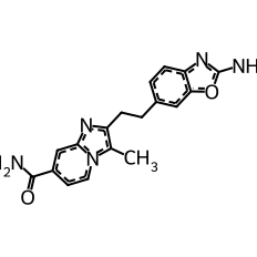 Cc1c(CCc2ccc3nc(N)oc3c2)nc2cc(C(N)=O)ccn12